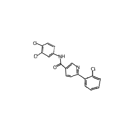 O=C(Nc1ccc(Cl)c(Cl)c1)c1ccc(-c2ccccc2Cl)nc1